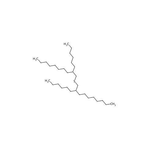 CCCCCCCCC(CCCCCC)CSCC(CCCCCC)CCCCCCCC